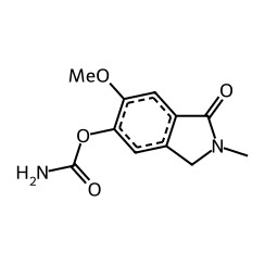 COc1cc2c(cc1OC(N)=O)CN(C)C2=O